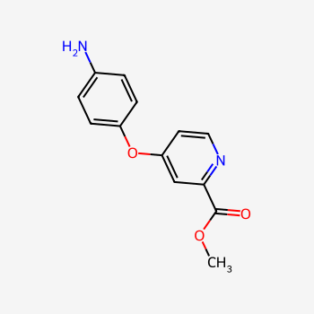 COC(=O)c1cc(Oc2ccc(N)cc2)ccn1